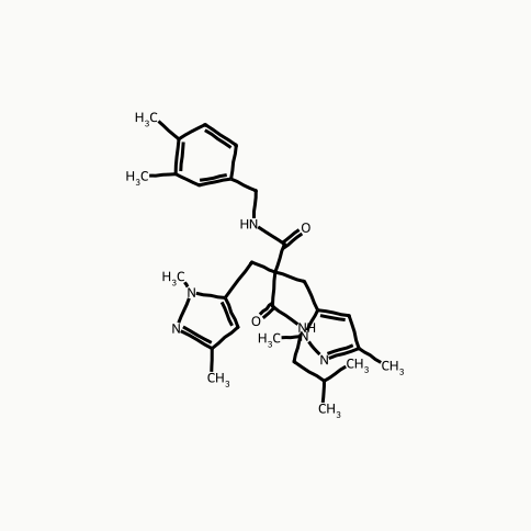 Cc1cc(CC(Cc2cc(C)nn2C)(C(=O)NCc2ccc(C)c(C)c2)C(=O)NCC(C)C)n(C)n1